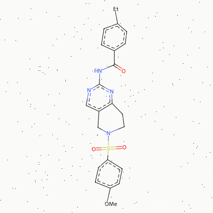 CCc1ccc(C(=O)Nc2ncc3c(n2)CCN(S(=O)(=O)c2ccc(OC)cc2)C3)cc1